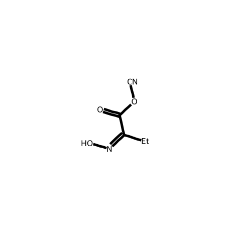 CCC(=NO)C(=O)OC#N